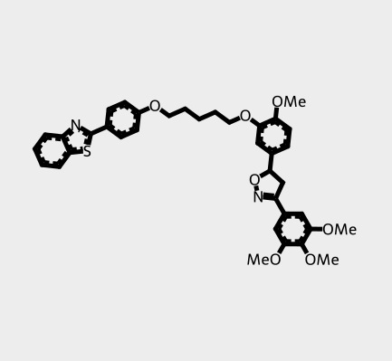 COc1ccc(C2CC(c3cc(OC)c(OC)c(OC)c3)=NO2)cc1OCCCCCOc1ccc(-c2nc3ccccc3s2)cc1